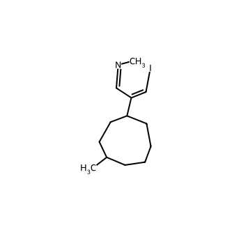 C/N=C\C(=C/I)C1CCCCC(C)CC1